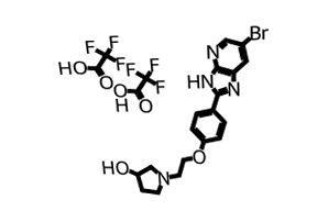 O=C(O)C(F)(F)F.O=C(O)C(F)(F)F.OC1CCN(CCOc2ccc(-c3nc4cc(Br)cnc4[nH]3)cc2)C1